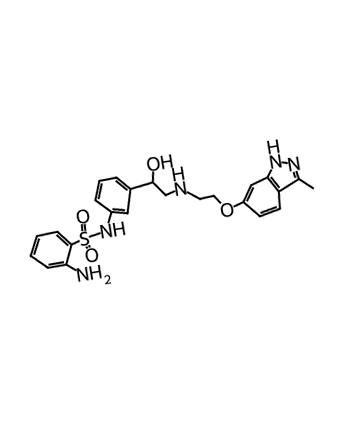 Cc1n[nH]c2cc(OCCNCC(O)c3cccc(NS(=O)(=O)c4ccccc4N)c3)ccc12